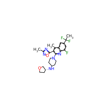 Cc1noc(-c2c(N3CCC(N[C@@H]4CCOC4)CC3)nc3c(F)cc(C(C)(F)F)cc3c2C)n1